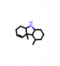 CC1CCCC2NC3CCC=CC3(C)C12